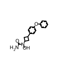 NC(=O)N(O)C1CC(c2ccc(Oc3ccccc3)cc2)C1